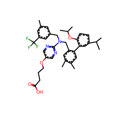 Cc1cc(CN(Cc2cc(C)c(C)cc2-c2cc(C(C)C)ccc2OC(C)C)c2ncc(OCCCC(=O)O)cn2)cc(C(F)(F)F)c1